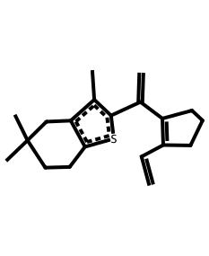 C=CC1=C(C(=C)c2sc3c(c2C)CC(C)(C)CC3)CCC1